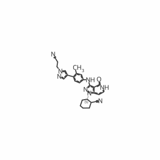 Cc1cc(Nc2nn([C@H]3CCCCC3C#N)c3cc[nH]c(=O)c23)ccc1-c1cnn(CCC#N)c1